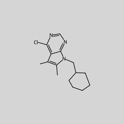 Cc1c(C)n(CC2CCCCC2)c2ncnc(Cl)c12